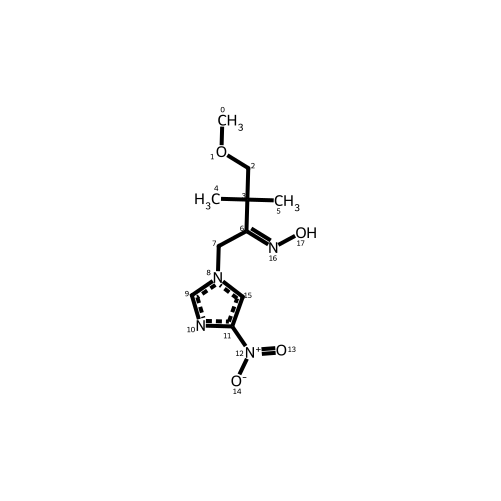 COCC(C)(C)C(Cn1cnc([N+](=O)[O-])c1)=NO